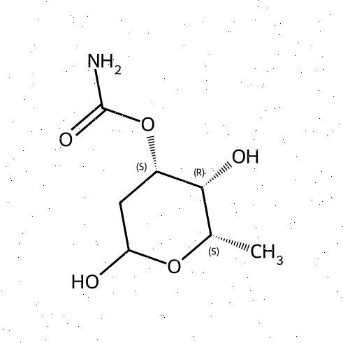 C[C@@H]1OC(O)C[C@H](OC(N)=O)[C@@H]1O